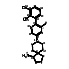 Cc1cc(N2CCC3(CCCC3N)CC2)cnc1-c1cccc(Cl)c1Cl